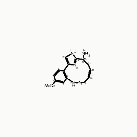 CNc1ccc2c(c1)NSC/C=C\C[C@H](N)c1nc-2c[nH]1